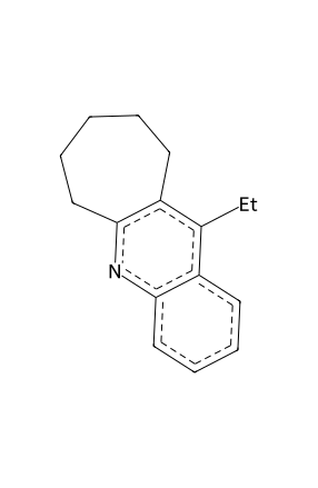 CCc1c2c(nc3ccccc13)CCCCC2